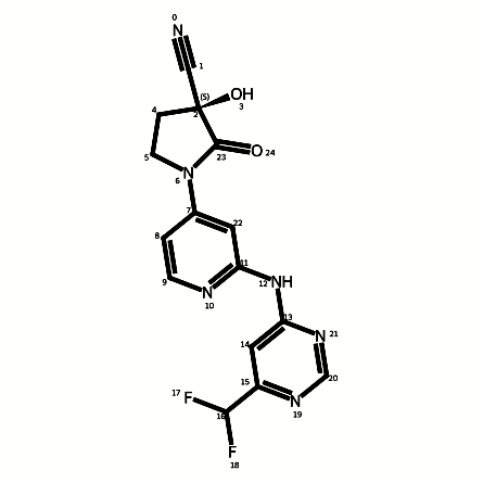 N#C[C@@]1(O)CCN(c2ccnc(Nc3cc(C(F)F)ncn3)c2)C1=O